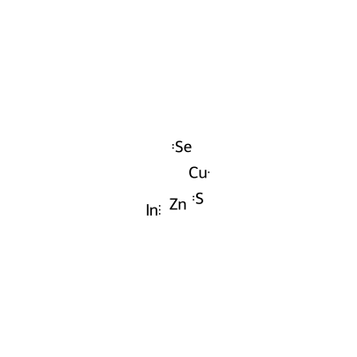 [Cu].[In].[S].[Se].[Zn]